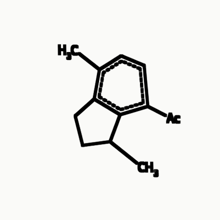 CC(=O)c1ccc(C)c2c1C(C)CC2